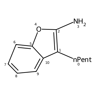 CCCCCc1c(N)oc2ccccc12